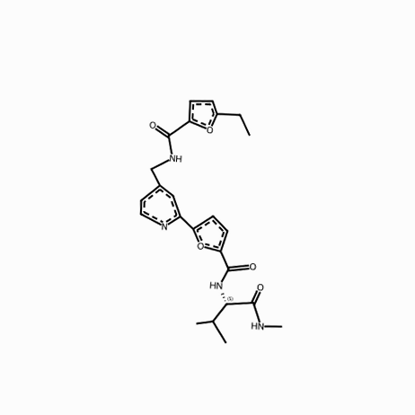 CCc1ccc(C(=O)NCc2ccnc(-c3ccc(C(=O)N[C@H](C(=O)NC)C(C)C)o3)c2)o1